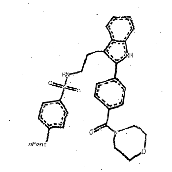 CCCCCc1ccc(S(=O)(=O)NCCc2c(-c3ccc(C(=O)N4CCOCC4)cc3)[nH]c3ccccc23)cc1